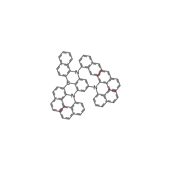 c1ccc2c(N(c3cc4c5c(c3)N(c3cccc6ccccc36)c3c(ccc6ccccc36)B5c3ccc5ccccc5c3N4c3cccc4ccccc34)c3cccc4ccccc34)cccc2c1